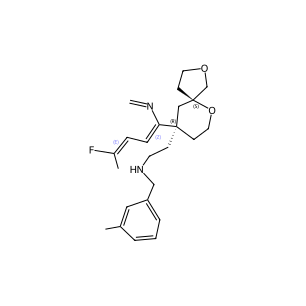 C=N/C(=C\C=C(/C)F)[C@]1(CCNCc2cccc(C)c2)CCO[C@]2(CCOC2)C1